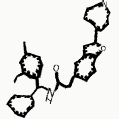 Cc1ccc(C(NC(=O)Cc2ccc3oc(-c4ccncc4)cc3c2)c2ccccc2)c(C)c1